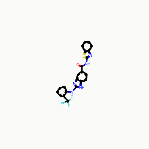 O=C(Nc1nc2ccccc2s1)c1ccc2[nH]c(Nc3ccccc3C(F)(F)F)nc2c1